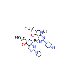 CCn1cc(C(=O)O)c(=O)c2cnc(N3CCCC3)nc21.CCn1cc(C(=O)O)c(=O)c2cnc(N3CCNCC3)nc21